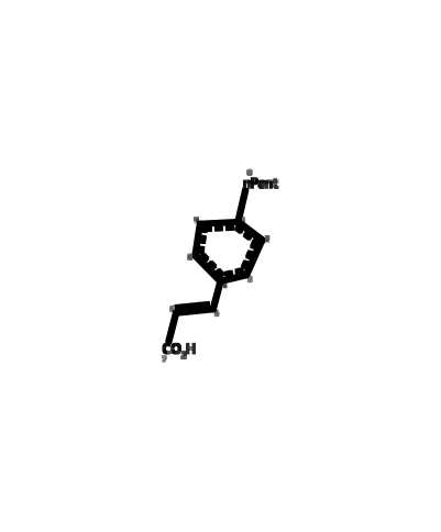 CCCCCc1ccc(C=CC(=O)O)cc1